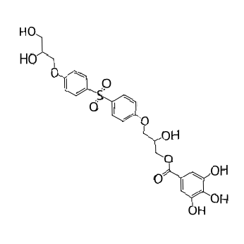 O=C(OCC(O)COc1ccc(S(=O)(=O)c2ccc(OCC(O)CO)cc2)cc1)c1cc(O)c(O)c(O)c1